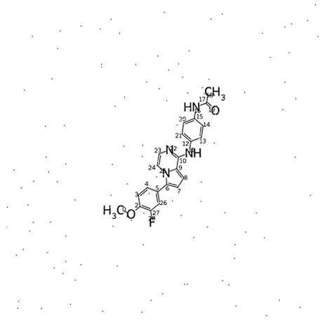 COc1ccc(-c2ccc3c(Nc4ccc(NC(C)=O)cc4)nccn23)cc1F